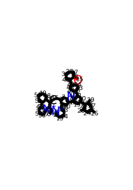 C=C1C2C(CCc3cc4c(cc3-c3cccc[n+]31)c1cc(-c3c(C)cc(C)cc3C)cc3c5cc6oc7ccccc7c6cc5n4c13)c1ccccc1-c1cccc[n+]12